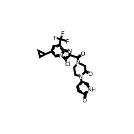 O=C(c1nc2c(C(F)(F)F)cc(C3CC3)cn2c1Cl)N1CCN(c2ccc(=O)[nH]c2)C(=O)C1